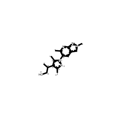 Cc1nc2nn(C)cc2cc1-n1nc(I)c(C(C)CO)c1C